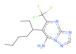 CCCCC(CC)c1c(C(F)(F)F)nc2ncnn2c1N